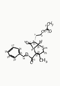 CC(=O)OCC[C@H]1C(=O)N2C(C(=O)OCc3ccccc3)=C(C)CS[C@@H]12